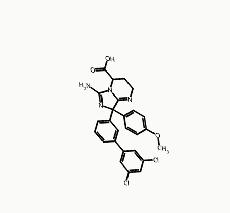 COc1ccc(C2(c3cccc(-c4cc(Cl)cc(Cl)c4)c3)N=C(N)N3C2=NCCC3C(=O)O)cc1